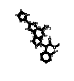 COC(=O)C(c1ccccc1F)n1ncc2c1nc(N)n1nc(-c3ccco3)nc21